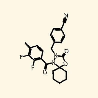 Cc1ccc(C(=O)N2N(Cc3ccc(C#N)cc3)C(=O)OC23CCCCC3)c(F)c1F